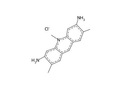 Cc1cc2cc3cc(C)c(N)cc3[n+](C)c2cc1N.[Cl-]